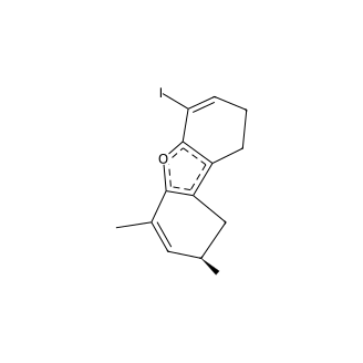 CC1=C[C@H](C)Cc2c1oc1c2CCC=C1I